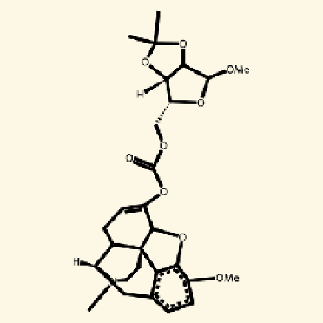 COc1ccc2c3c1OC1C(OC(=O)OC[C@H]4OC(OC)C5OC(C)(C)O[C@H]54)=CCC4[C@@H](C2)N(C)CC[C@]314